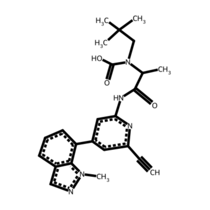 C#Cc1cc(-c2cccc3cnn(C)c23)cc(NC(=O)C(C)N(CC(C)(C)C)C(=O)O)n1